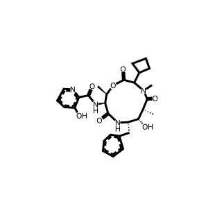 C[C@H]1OC(=O)C(C2CCC2)N(C)C(=O)[C@H](C)[C@H](O)[C@H](Cc2ccccc2)NC(=O)[C@H]1NC(=O)c1ncccc1O